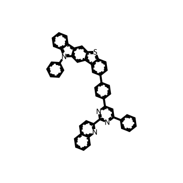 c1ccc(-c2cc(-c3ccc(-c4ccc5sc6cc7c8ccccc8n(-c8ccccc8)c7cc6c5c4)cc3)nc(-c3ccc4ccccc4n3)n2)cc1